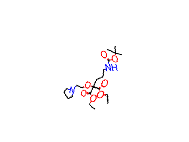 CCOC(=O)C(CCCNC(=O)OC(C)(C)C)(OCCN1CCCC1)C(=O)OCC